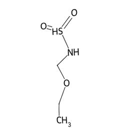 CCOCN[SH](=O)=O